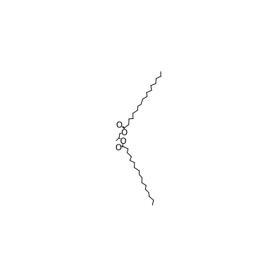 CCCCCCCCCCCCCCCCC(=O)OCC(C)OC(=O)CCCCCCCCCCCCCCCC